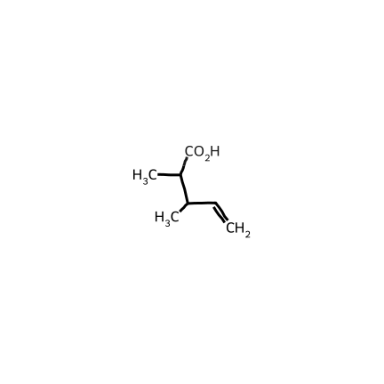 C=CC(C)C(C)C(=O)O